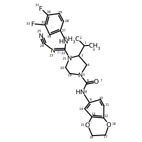 CC(C)C1CN(C(=O)Nc2ccc3c(c2)OCCO3)CCN1/C(=N/C#N)Nc1ccc(F)c(F)c1